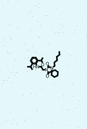 CCCCCCN1C(=O)N(CC(=O)Nc2c(C(C)C)cccc2C(C)C)C(=O)C12CCCCC2